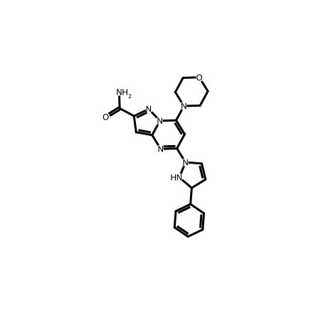 NC(=O)c1cc2nc(N3C=CC(c4ccccc4)N3)cc(N3CCOCC3)n2n1